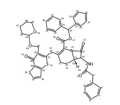 O=C(Cc1ccccc1)NC1C(=O)N2C(C(=O)OC(c3ccccc3)c3ccccc3)=C(Sc3sc4ccsc4c(=O)c3COC3CCCCO3)CS[C@@H]12